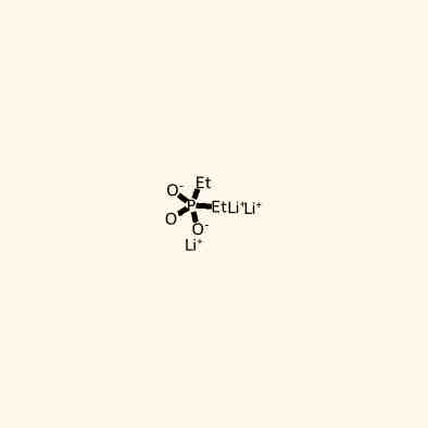 CCP([O-])([O-])([O-])CC.[Li+].[Li+].[Li+]